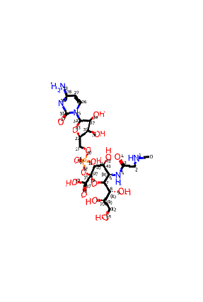 CNCC(=O)N[C@H]1C([C@H](O)[C@H](O)CO)O[C@](OP(=O)(O)OCC2OC(n3ccc(N)nc3=O)C(O)C2O)(C(=O)O)C[C@H]1O